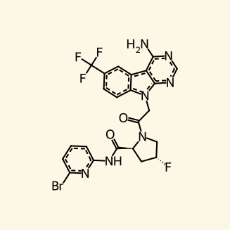 Nc1ncnc2c1c1cc(C(F)(F)F)ccc1n2CC(=O)N1C[C@H](F)C[C@H]1C(=O)Nc1cccc(Br)n1